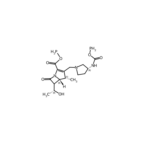 C[C@@H](O)C1C(=O)N2C(C(=O)OP)=C(CN3CC[C@@H](NC(=O)OP)C3)[C@H](C)[C@H]12